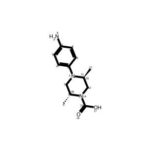 C[C@@H]1CN(c2ccc(N)cc2)[C@@H](C)CN1C(=O)O